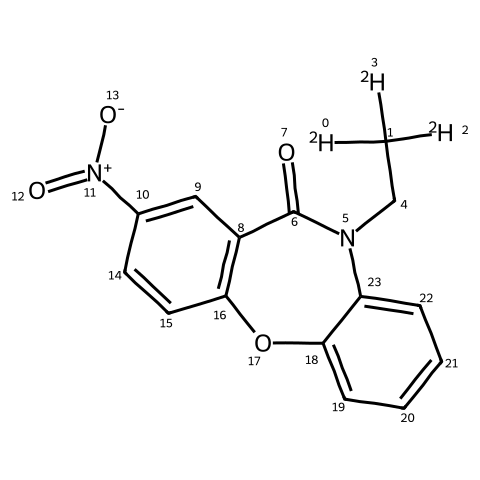 [2H]C([2H])([2H])CN1C(=O)c2cc([N+](=O)[O-])ccc2Oc2ccccc21